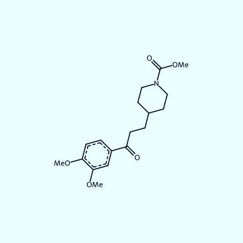 COC(=O)N1CCC(CCC(=O)c2ccc(OC)c(OC)c2)CC1